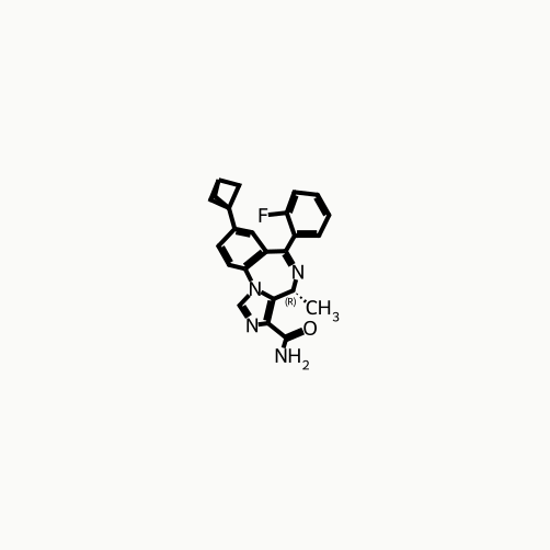 C[C@H]1N=C(c2ccccc2F)c2cc(C34CC(C3)C4)ccc2-n2cnc(C(N)=O)c21